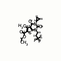 CCOC(=O)c1sc2c(c1C)c(=O)n(C1CC1)c(=O)n2CCC(F)(F)F